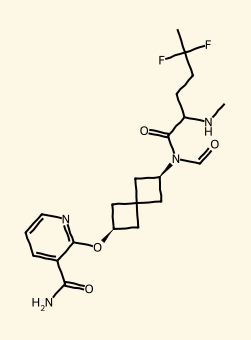 CNC(CCC(C)(F)F)C(=O)N(C=O)[C@H]1CC2(C[C@H](Oc3ncccc3C(N)=O)C2)C1